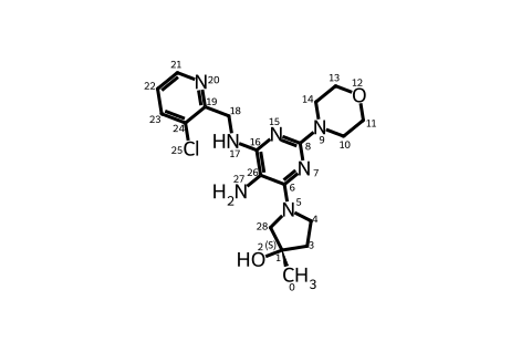 C[C@]1(O)CCN(c2nc(N3CCOCC3)nc(NCc3ncccc3Cl)c2N)C1